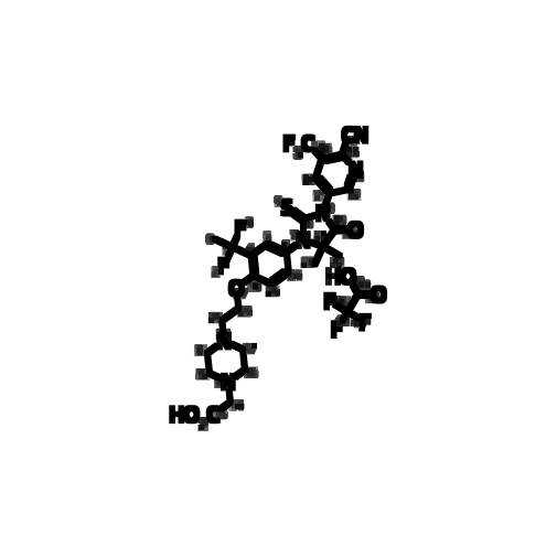 CC(F)(F)c1cc(N2C(=S)N(c3cnc(C#N)c(C(F)(F)F)c3)C(=O)C2(C)C)ccc1OCCN1CCN(CC(=O)O)CC1.O=C(O)C(F)(F)F